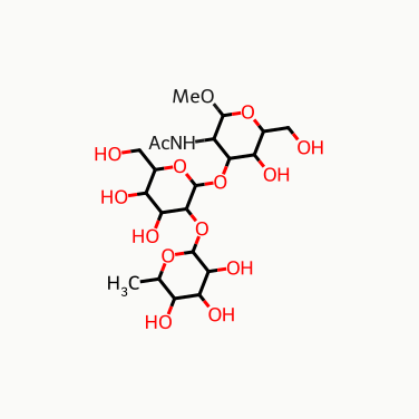 COC1OC(CO)C(O)C(OC2OC(CO)C(O)C(O)C2OC2OC(C)C(O)C(O)C2O)C1NC(C)=O